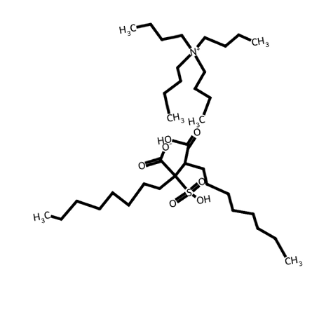 CCCCCCCCC(C(=O)O)C(CCCCCCCC)(C(=O)[O-])S(=O)(=O)O.CCCC[N+](CCCC)(CCCC)CCCC